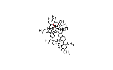 Cl.Cl.[CH2]=[Zr]([C]1=CC(C(C)(C)C)=CC1CCC)([c]1ccc(C)cc1)([c]1ccc(C)cc1)[c]1c(-c2c(C)cc(C)cc2C)ccc2c1Cc1cc(-c3c(C)cc(C)cc3C)ccc1-2